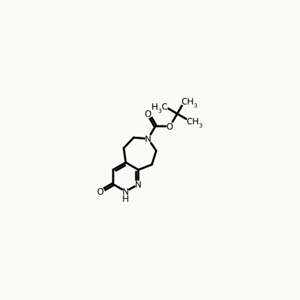 CC(C)(C)OC(=O)N1CCc2cc(=O)[nH]nc2CC1